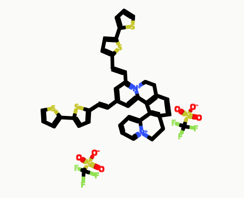 C(=Cc1ccc(-c2cccs2)s1)c1cc(C=Cc2ccc(-c3cccs3)s2)[n+]2c(c1)-c1c(ccc3c1-c1cccc[n+]1CC3)CC2.O=S(=O)([O-])C(F)(F)F.O=S(=O)([O-])C(F)(F)F